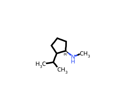 CN[C@@H]1CCCC1C(C)C